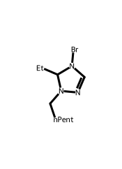 CCCCCCN1N=CN(Br)C1CC